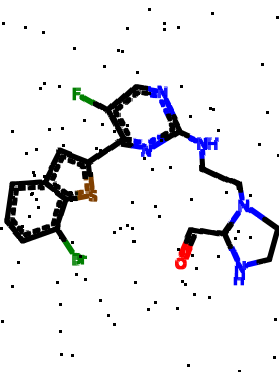 O=CC1NCCN1CCNc1ncc(F)c(-c2cc3cccc(Br)c3s2)n1